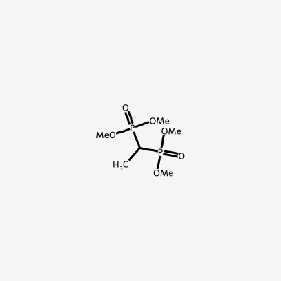 COP(=O)(OC)C(C)P(=O)(OC)OC